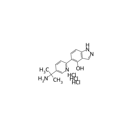 CC(C)(N)c1ccc(-c2ccc3[nH]ncc3c2O)nc1.Cl.Cl.Cl